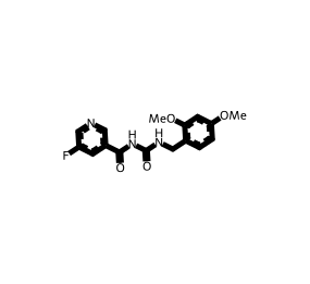 COc1ccc(CNC(=O)NC(=O)c2cncc(F)c2)c(OC)c1